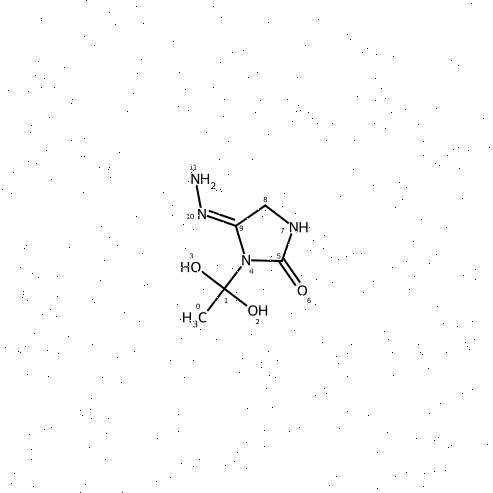 CC(O)(O)N1C(=O)NCC1=NN